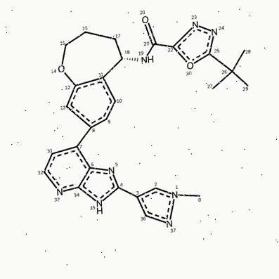 Cn1cc(-c2nc3c(-c4ccc5c(c4)OCCC[C@@H]5NC(=O)c4nnc(C(C)(C)C)o4)ccnc3[nH]2)cn1